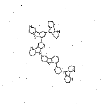 c1cc(-c2cccc3c2sc2ccc(-n4c5ccc(-c6cc(-n7c8cccnc8c8ncccc87)cc7c6sc6ccncc67)cc5c5ncccc54)cc23)cc(-n2c3cccnc3c3ncccc32)c1